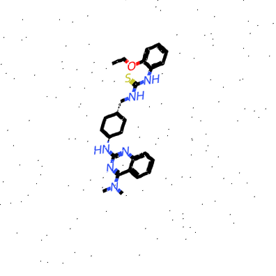 CCOc1ccccc1NC(=S)NC[C@H]1CC[C@@H](Nc2nc(N(C)C)c3ccccc3n2)CC1